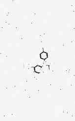 CC(=O)N(c1ccc(C)cc1)c1cc(N)ccn1